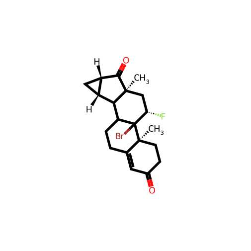 C[C@]12CCC(=O)C=C1CCC1C3[C@@H]4C[C@@H]4C(=O)[C@@]3(C)C[C@H](F)C12Br